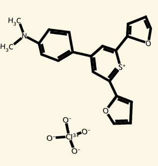 CN(C)c1ccc(-c2cc(-c3ccco3)[s+]c(-c3ccco3)c2)cc1.[O-][Cl+3]([O-])([O-])[O-]